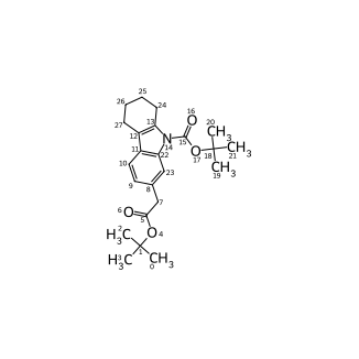 CC(C)(C)OC(=O)Cc1ccc2c3c(n(C(=O)OC(C)(C)C)c2c1)CCCC3